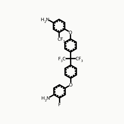 Nc1ccc(Oc2ccc(C(c3ccc(Oc4ccc(N)c(F)c4)cc3)(C(F)(F)F)C(F)(F)F)cc2)c(C(F)(F)F)c1